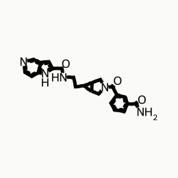 NC(=O)c1cccc(C(=O)N2CC3C(CCNC(=O)c4cc5cnccc5[nH]4)C3C2)c1